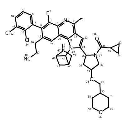 Cc1nc2c(F)c(-c3cccc(Cl)c3Cl)c(CCC#N)cc2c2c1cc(C1CC(OCC3CCOCC3)CN1C(=O)C1CC1)n2C1C2CNC1C2